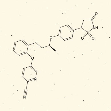 C[C@@H](CCc1ccccc1Oc1ccc(C#N)nc1)Oc1ccc(C2CC(=O)NS2(=O)=O)cc1